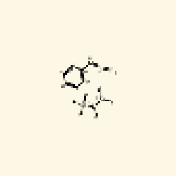 CN([SiH](C)C)[Si](C)(C)C.O=C=Nc1ccccc1